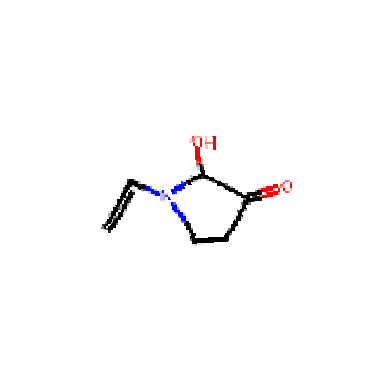 C=CN1CCC(=O)C1O